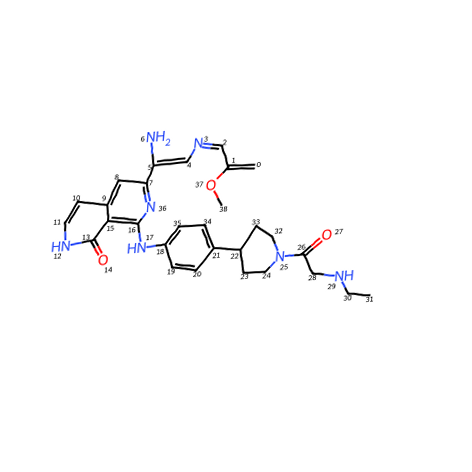 C=C(/C=N\C=C(/N)c1cc2cc[nH]c(=O)c2c(Nc2ccc(C3CCN(C(=O)CNCC)CC3)cc2)n1)OC